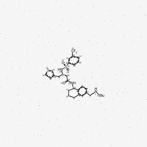 CC(C)(C)NCc1ccc2c(c1)CCC[C@H]2NC(=O)C[C@@H](Cc1ccsc1)NS(=O)(=O)c1cccc(C(F)(F)F)c1